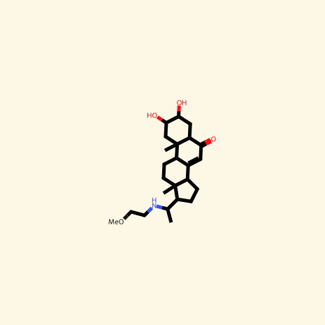 COCCNC(C)C1CCC2C3=CC(=O)C4CC(O)C(O)CC4(C)C3CCC21C